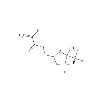 C=C(F)C(=O)OCC1CC(F)(F)C(C)(C(F)(F)F)O1